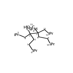 CC(C)CCC(CC(C)C)(C(=O)O)C(CCC(C)C)(CC(C)C)C(=O)O